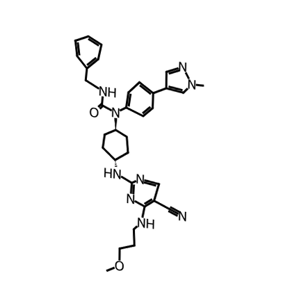 COCCCNc1nc(N[C@H]2CC[C@H](N(C(=O)NCc3ccccc3)c3ccc(-c4cnn(C)c4)cc3)CC2)ncc1C#N